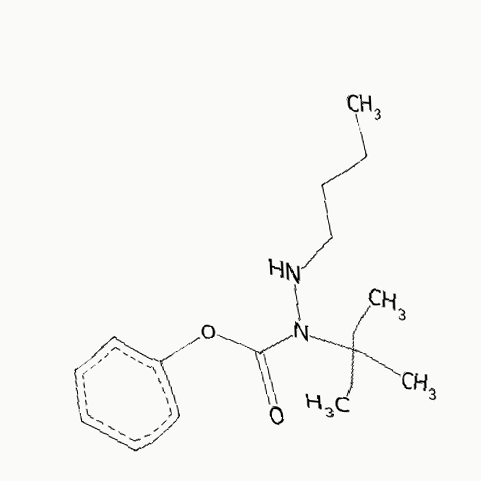 CCCCNN(C(=O)Oc1ccccc1)C(C)(C)C